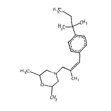 CCC(C)(C)c1ccc(C=C(C)CN2CC(C)OC(C)C2)cc1